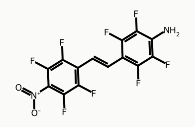 Nc1c(F)c(F)c(/C=C/c2c(F)c(F)c([N+](=O)[O-])c(F)c2F)c(F)c1F